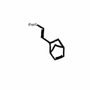 CCCC(C)/C=C/C1CC2C=CC1C2